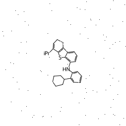 CC(C)C1=CCCc2c1sc1c(Nc3ccccc3C3CCCCC3)cccc21